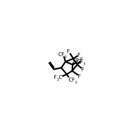 C=CC1C(C(F)(F)F)(C(F)(F)F)C2(F)C(F)(F)C(F)(F)C1(C(F)(F)F)C2(C(F)(F)F)C(F)(F)F